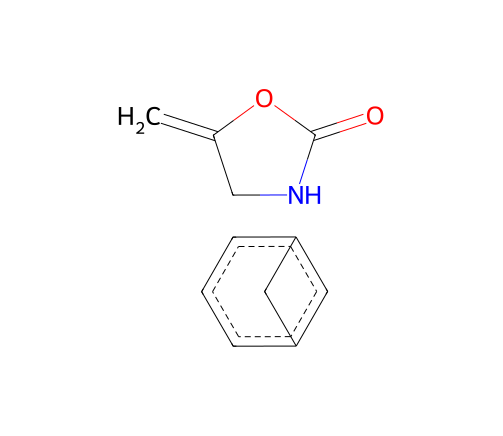 C=C1CNC(=O)O1.c1cc2cc(c1)C2